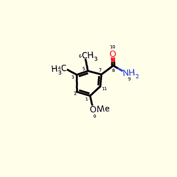 COc1cc(C)c(C)c(C(N)=O)c1